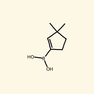 CC1(C)C=C(B(O)O)CC1